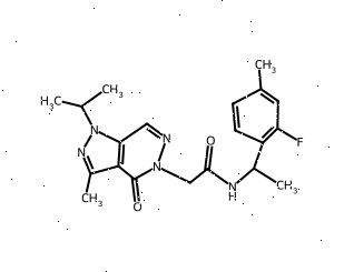 Cc1ccc(C(C)NC(=O)Cn2ncc3c(c(C)nn3C(C)C)c2=O)c(F)c1